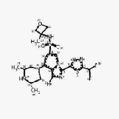 [2H]c1nc(-c2nnc(C(F)F)s2)n2cc(S(=O)(=O)NC3(C)COC3)cc(N3C[C@H](C)N[C@@H](C)C3)c12